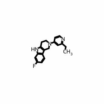 CCc1cc(N2CCc3[nH]c4cc(F)ccc4c3C2)ccn1